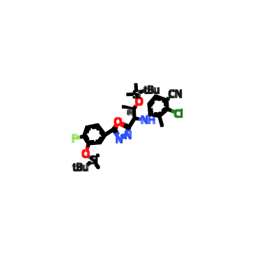 Cc1c(NC(c2nnc(-c3ccc(F)c(O[Si](C)(C)C(C)(C)C)c3)o2)[C@@H](C)O[Si](C)(C)C(C)(C)C)ccc(C#N)c1Cl